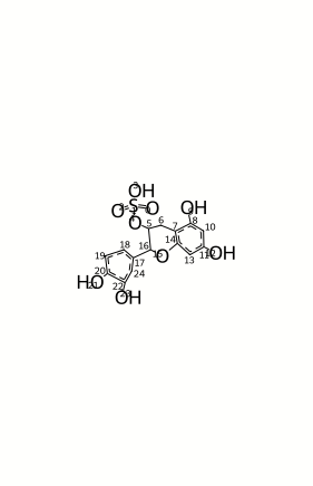 O=S(=O)(O)OC1Cc2c(O)cc(O)cc2OC1c1ccc(O)c(O)c1